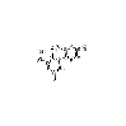 Cc1cc(OS)c(O)c(-c2ccc(O)cc2C)c1